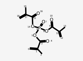 C=C(C)C(=O)OP(=O)(OC(=O)C(=C)C)OC(=O)C(=C)C